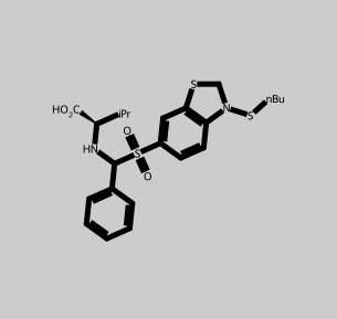 CCCCSN1CSc2cc(S(=O)(=O)C(N[C@@H](C(=O)O)C(C)C)c3ccccc3)ccc21